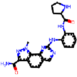 Cn1nc(C(N)=O)c2ccc3cnc(Nc4ccccc4NC(=O)C4CCCN4)nc3c21